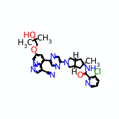 CC(C)(O)COc1cc(-c2cnc(N3C[C@@H]4C[C@@](C)(NC(=O)c5ncccc5Cl)C[C@@H]4C3)cn2)c2c(C#N)cnn2c1